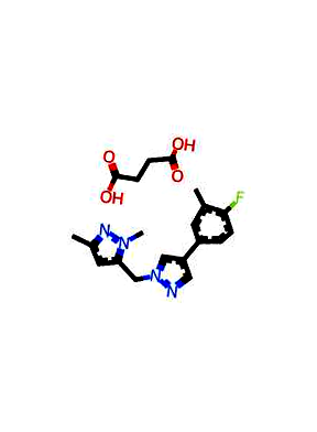 Cc1cc(Cn2cc(-c3ccc(F)c(C)c3)cn2)n(C)n1.O=C(O)CCC(=O)O